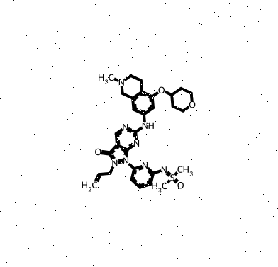 C=CCn1c(=O)c2cnc(Nc3cc4c(c(OC5CCOCC5)c3)CCN(C)C4)nc2n1-c1cccc(N=S(C)(C)=O)n1